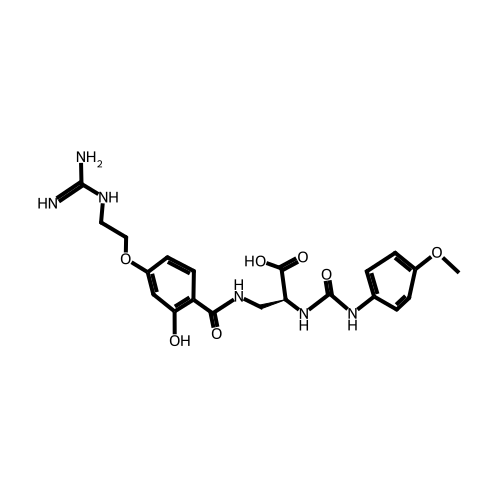 COc1ccc(NC(=O)N[C@@H](CNC(=O)c2ccc(OCCNC(=N)N)cc2O)C(=O)O)cc1